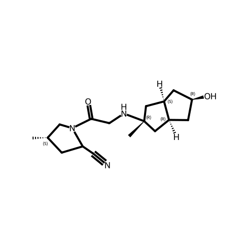 C[C@H]1CC(C#N)N(C(=O)CN[C@]2(C)C[C@H]3C[C@@H](O)C[C@H]3C2)C1